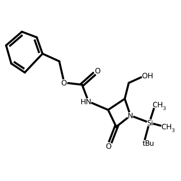 CC(C)(C)[Si](C)(C)N1C(=O)C(NC(=O)OCc2ccccc2)C1CO